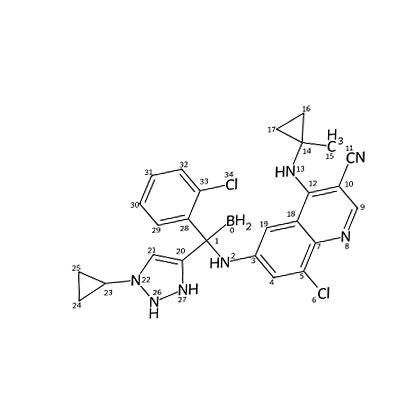 BC(Nc1cc(Cl)c2ncc(C#N)c(NC3(C)CC3)c2c1)(C1=CN(C2CC2)NN1)c1ccccc1Cl